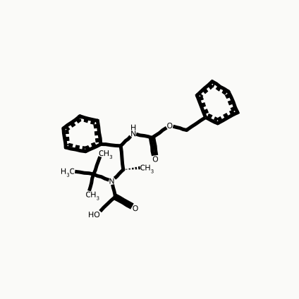 C[C@@H](C(NC(=O)OCc1ccccc1)c1ccccc1)N(C(=O)O)C(C)(C)C